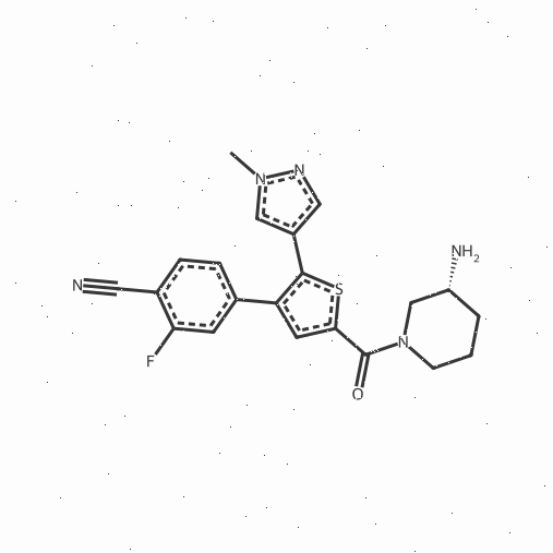 Cn1cc(-c2sc(C(=O)N3CCC[C@@H](N)C3)cc2-c2ccc(C#N)c(F)c2)cn1